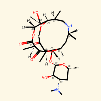 CC[C@H]1OC(=O)[C@H](C)C(=O)[C@H](C)[C@@H](O[C@@H]2O[C@H](C)C[C@H](N(C)C)[C@H]2O)[C@@]2(C)C[C@@H](C)NC[C@H](C)[C@@H](OCC(=O)CO2)[C@]1(C)O